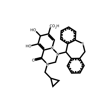 O=C(O)C1=CN2C(=C(O)C1O)C(=O)N(CC1CC1)CN2C1c2ccccc2CSc2ccccc21